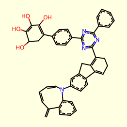 C=C1/C=C\C=C/N(c2ccc3c(c2)CC2=C(c4nc(-c5ccccc5)nc(-c5ccc(C6=C(O)C(O)=C(O)C(O)C6)cc5)n4)CCC=C23)c2ccccc21